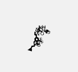 Nc1nn2ccc(-c3cc4c(c(C(F)(F)F)c3)C(=O)N(CCC3CC3)C4)nc2c1C(=O)NC1COC1